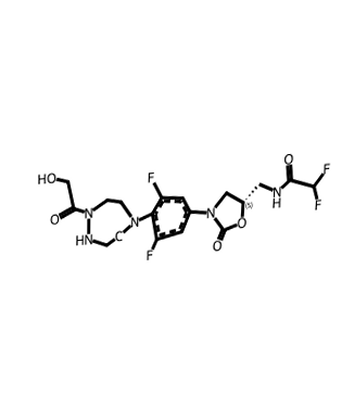 O=C(NC[C@H]1CN(c2cc(F)c(N3CCNN(C(=O)CO)CC3)c(F)c2)C(=O)O1)C(F)F